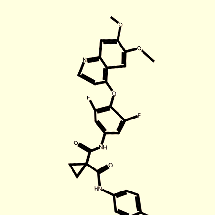 COc1cc2nccc(Oc3c(F)cc(NC(=O)C4(C(=O)Nc5ccc(F)cc5)CC4)cc3F)c2cc1OC